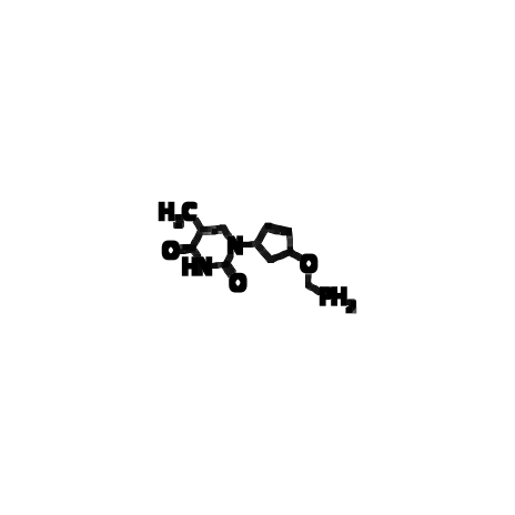 Cc1cn(C2C=CC(OCP)C2)c(=O)[nH]c1=O